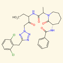 CC(C(=O)NC(CC(=O)O)C(=O)Cn1nnc(Cc2c(Cl)cccc2Cl)n1)N1CCCC[C@H](NC(=O)c2ccccc2)C1=O